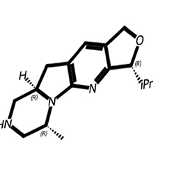 CC(C)[C@H]1OCc2cc3c(nc21)N1[C@@H](CNC[C@H]1C)C3